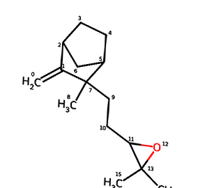 C=C1C2CCC(C2)C1(C)CCC1OC1(C)C